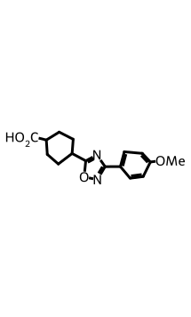 COc1ccc(-c2noc(C3CCC(C(=O)O)CC3)n2)cc1